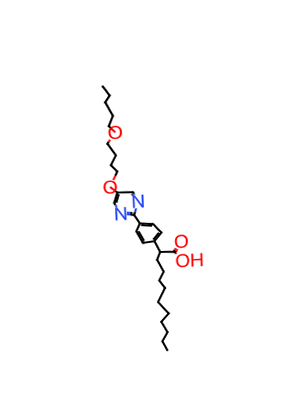 CCCCCCCCCCC(C(=O)O)c1ccc(-c2ncc(OCCCCOCCCCC)cn2)cc1